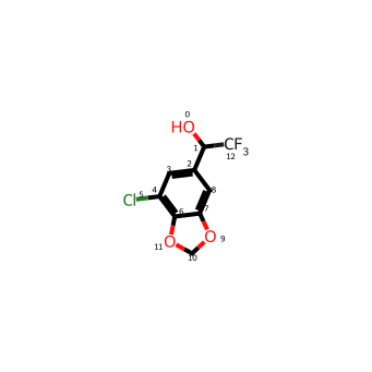 OC(c1cc(Cl)c2c(c1)OCO2)C(F)(F)F